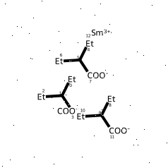 CCC(CC)C(=O)[O-].CCC(CC)C(=O)[O-].CCC(CC)C(=O)[O-].[Sm+3]